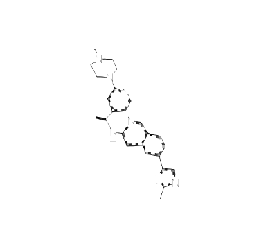 C=C(Nc1cc2cc(-c3cnc(C)s3)ccc2cn1)c1ccnc(N2CCN(I)CC2)c1